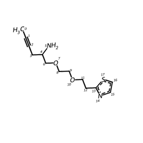 CC#CCC(N)COCCOCCc1nccs1